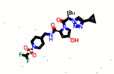 CC(C)(C)[C@@H](C(=O)N1C[C@H](O)C[C@H]1C(=O)NCC1CCN(S(=O)(=O)C(F)F)CC1)n1cc(C2CC2)nn1